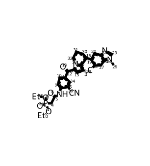 CCOP(=O)(CC(=O)Nc1ccc(C(=O)c2ccc3c(-c4cc5ncn(C)c5cc4C(F)(F)F)cccn23)cc1C#N)OCC